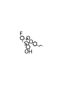 C/C=C/c1ccc(Oc2c(C(=O)c3cc(F)ccc3C)sc3cc(O)ccc23)cc1